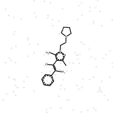 Cc1nn(CCN2CCCC2)c(N)c1/C(Cl)=C(\N)c1ccccc1